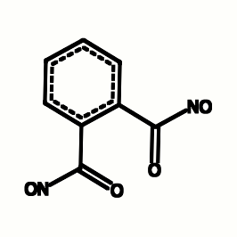 O=NC(=O)c1ccccc1C(=O)N=O